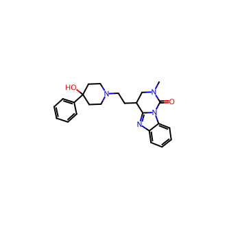 CN1CC(CCN2CCC(O)(c3ccccc3)CC2)c2nc3ccccc3n2C1=O